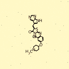 CN1CCC(Oc2ccc(N=C3NC(=O)C(=Cc4c[nH]c5ncncc45)S3)c(Cl)c2)CC1